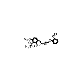 CCOc1ccccc1OCCN[C@H](C)Cc1ccc(OC)c(S(N)(=O)=O)c1Br